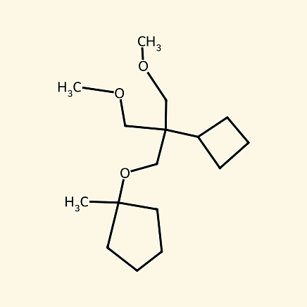 COCC(COC)(COC1(C)CCCC1)C1CCC1